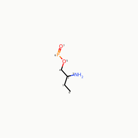 CCC(N)COP=O